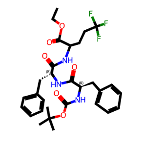 CCOC(=O)C(CCC(F)(F)F)NC(=O)[C@@H](Cc1ccccc1)NC(=O)[C@@H](Cc1ccccc1)NC(=O)OC(C)(C)C